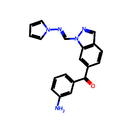 Nc1cccc(C(=O)c2ccc3cnn(C=Nn4cccc4)c3c2)c1